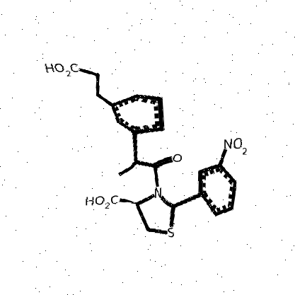 CC(C(=O)N1C(c2cccc([N+](=O)[O-])c2)SC[C@H]1C(=O)O)c1cccc(CCC(=O)O)c1